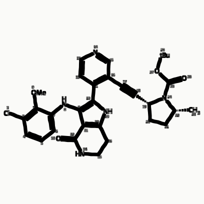 COc1c(Cl)cccc1Nc1c(-c2ccncc2C#C[C@H]2CC[C@@H](C)N2C(=O)OC(C)(C)C)[nH]c2c1C(=O)NCC2